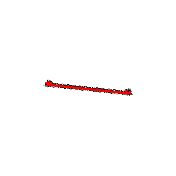 O=C(CCOCCOCCOCCOCCOCCOCCOCCOCCOCCOCCOCCOCCOCCOCCOCCOCCOCCOCCOCCOCCOCCOCCOCCOCCOCCC(=O)Oc1c(F)c(F)cc(F)c1F)Oc1c(F)c(F)cc(F)c1F